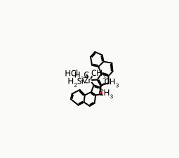 CC1=[C]([Zr]([CH3])([CH3])(=[SiH2])[C]2=C(C)Cc3ccc4ccccc4c32)c2c(ccc3ccccc23)C1.Cl